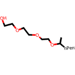 CCCCCC(C)OCCOCCOCCO